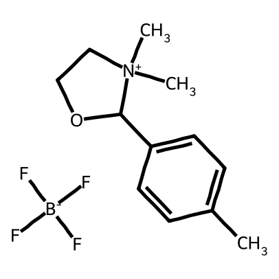 Cc1ccc(C2OCC[N+]2(C)C)cc1.F[B-](F)(F)F